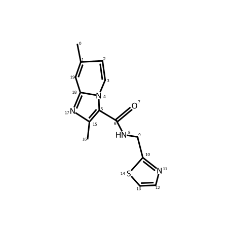 Cc1ccn2c(C(=O)NCc3nccs3)c(C)nc2c1